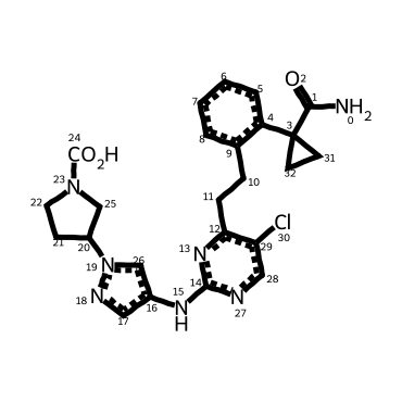 NC(=O)C1(c2ccccc2CCc2nc(Nc3cnn(C4CCN(C(=O)O)C4)c3)ncc2Cl)CC1